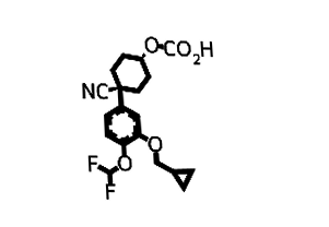 N#C[C@]1(c2ccc(OC(F)F)c(OCC3CC3)c2)CC[C@@H](OC(=O)O)CC1